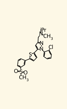 CC(C)N(C)Cc1cc(-c2ccc(-c3cccc(S(C)(=O)=O)c3)s2)n(-c2ccccc2Cl)n1